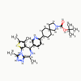 Cc1sc2c(c1C)C(c1ccc(C3CCC4(CC3)CCN(C(=O)OC(C)(C)C)C4)nc1)=N[C@@H](C)c1nnc(C)n1-2